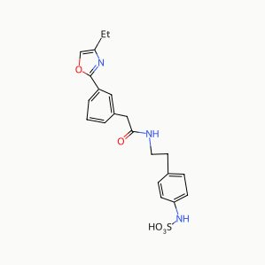 CCc1coc(-c2cccc(CC(=O)NCCc3ccc(NS(=O)(=O)O)cc3)c2)n1